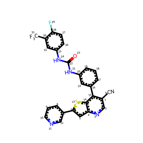 N#Cc1cnc2cc(-c3cccnc3)sc2c1-c1cccc(NC(=O)Nc2ccc(F)c(C(F)(F)F)c2)c1